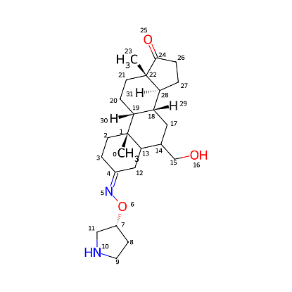 C[C@]12CC/C(=N/O[C@@H]3CCNC3)CC1C(CO)C[C@@H]1[C@H]2CC[C@]2(C)C(=O)CC[C@@H]12